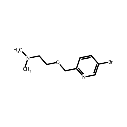 CN(C)CCOCc1ccc(Br)cn1